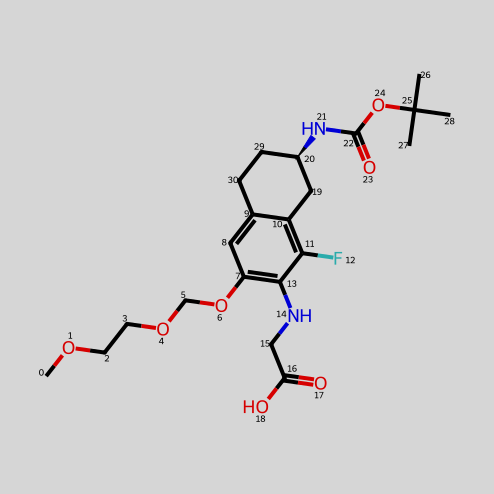 COCCOCOc1cc2c(c(F)c1NCC(=O)O)C[C@H](NC(=O)OC(C)(C)C)CC2